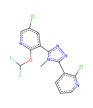 Cn1c(-c2cccnc2Cl)nnc1-c1cc(Cl)cnc1OC(F)F